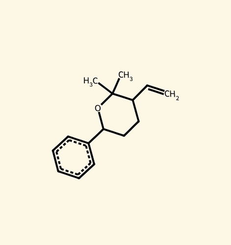 C=CC1CCC(c2ccccc2)OC1(C)C